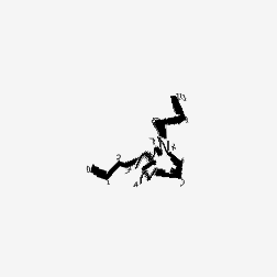 C=CCn1ncc[n+]1CC=C